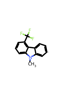 Cn1c2c[c]ccc2c2c(C(F)(F)F)cccc21